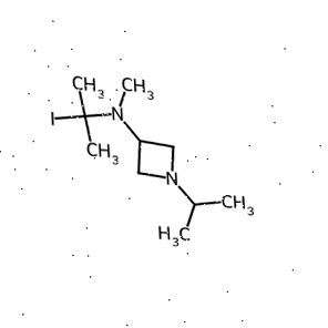 CC(C)N1CC(N(C)C(C)(C)I)C1